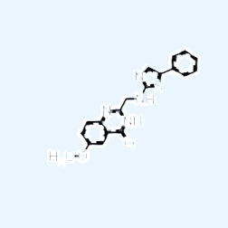 COc1ccc2nc(CNc3ncc(-c4ccccc4)s3)[nH]c(=O)c2c1